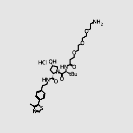 Cc1ncsc1-c1ccc(CCNC(=O)[C@@H]2C[C@H](O)CN2C(=O)[C@@H](NC(=O)CCOCCOCCOCCN)C(C)(C)C)cc1.Cl